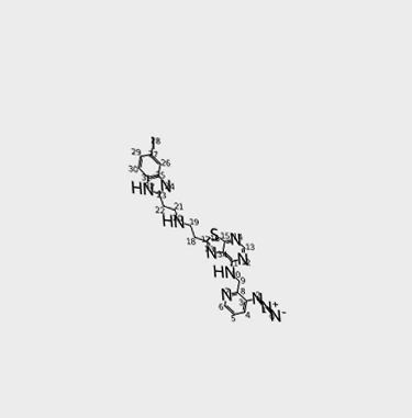 [N-]=[N+]=Nc1cccnc1CNc1ncnc2sc(CCNCCc3nc4cc(I)ccc4[nH]3)nc12